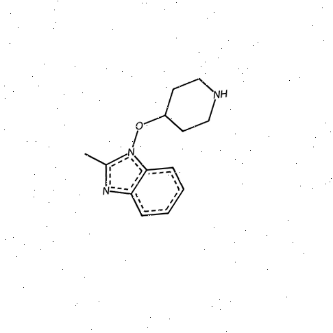 Cc1nc2ccccc2n1OC1CCNCC1